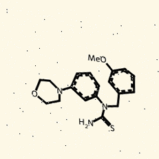 COc1cccc(CN(C(N)=S)c2cccc(N3CCOCC3)c2)c1